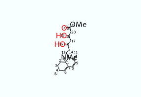 CN[C@]12CC[C@@H](C)C=C1C=C[C@H](C)[C@@H]2CC[C@@H](O)C[C@@H](O)CC(=O)OC